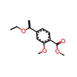 C=C(OCC)c1ccc(C(=O)OC)c(OC)c1